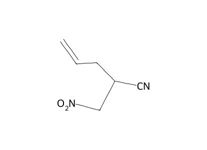 C=CCC(C#N)C[N+](=O)[O-]